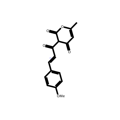 COc1ccc(/C=C/C(=O)C2C(=O)C=C(C)OC2=O)cc1